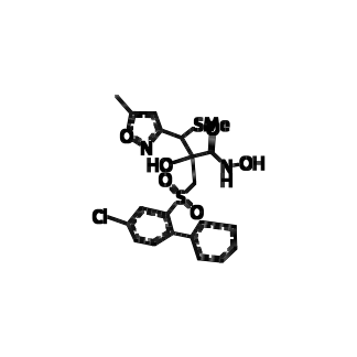 CSC(c1cc(C)on1)C(O)(CS(=O)(=O)c1cc(Cl)ccc1-c1ccccc1)C(=O)NO